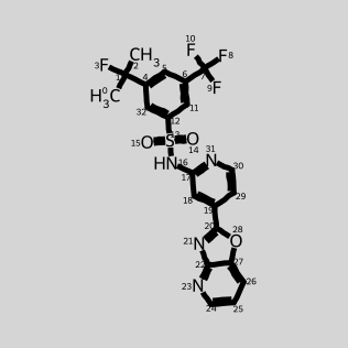 CC(C)(F)c1cc(C(F)(F)F)cc(S(=O)(=O)Nc2cc(-c3nc4ncccc4o3)ccn2)c1